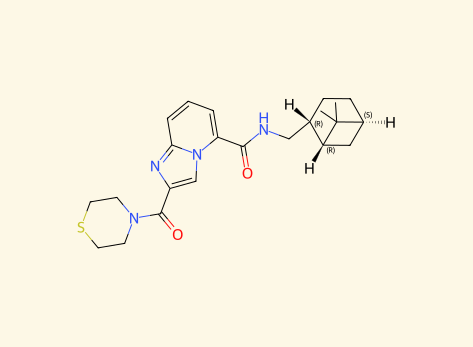 CC1(C)[C@H]2CC[C@@H](CNC(=O)c3cccc4nc(C(=O)N5CCSCC5)cn34)[C@H]1C2